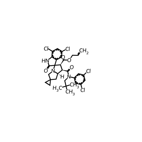 C=CCOC(=O)[C@H]1[C@@H](C(=O)N(CC(C)(C)C)c2cc(Cl)cc(Cl)c2)[C@H]2CC3(CC3)CN2C12C(=O)Nc1c(Cl)cc(Cl)cc12